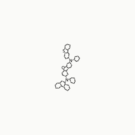 c1ccc(N(c2ccc3c(c2)oc2ccc(N(c4ccccc4)c4cc5ccccc5c5ccccc45)cc23)c2ccc3sc4ccccc4c3c2)cc1